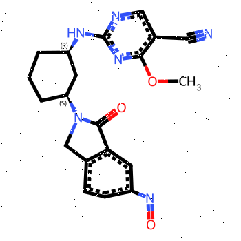 COc1nc(N[C@@H]2CCC[C@H](N3Cc4ccc(N=O)cc4C3=O)C2)ncc1C#N